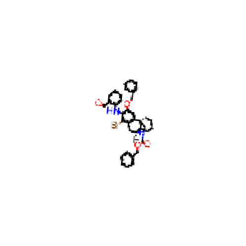 O=Cc1ccccc1Nc1c(OCc2ccccc2)cc2c(c1Br)C[C@H]1C3CCCC[C@@]23CCN1C(=O)OCc1ccccc1